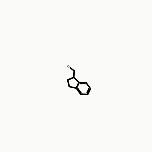 [O]CC1CCc2ccccc21